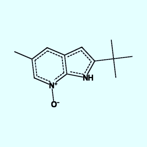 Cc1cc2cc(C(C)(C)C)[nH]c2[n+]([O-])c1